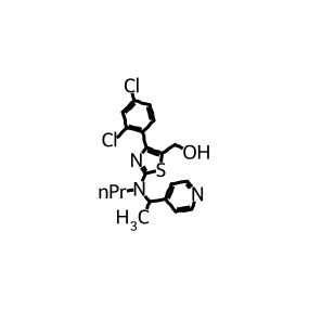 CCCN(c1nc(-c2ccc(Cl)cc2Cl)c(CO)s1)C(C)c1ccncc1